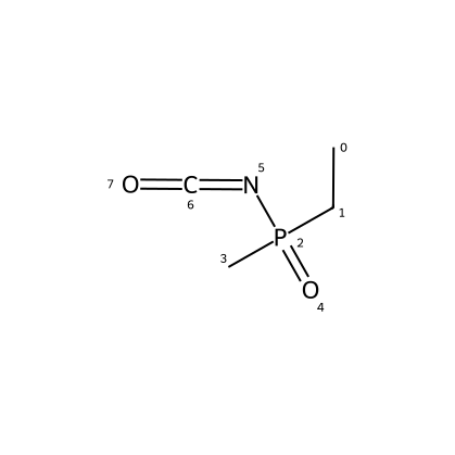 CCP(C)(=O)N=C=O